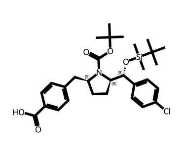 CC(C)(C)OC(=O)N1[C@H](Cc2ccc(C(=O)O)cc2)CC[C@@H]1[C@H](O[Si](C)(C)C(C)(C)C)c1ccc(Cl)cc1